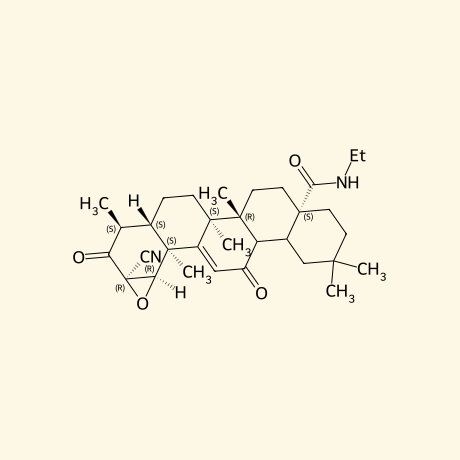 CCNC(=O)[C@]12CCC(C)(C)CC1C1C(=O)C=C3[C@@]4(C)[C@H]5O[C@@]5(C#N)C(=O)[C@@H](C)[C@@H]4CC[C@@]3(C)[C@]1(C)CC2